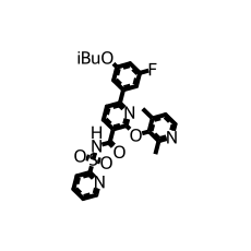 Cc1ccnc(C)c1Oc1nc(-c2cc(F)cc(OCC(C)C)c2)ccc1C(=O)NS(=O)(=O)c1ccccn1